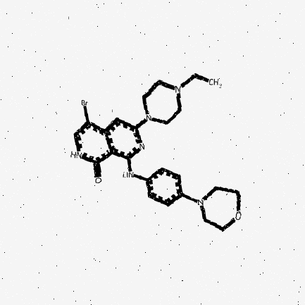 CCN1CCN(c2cc3c(Br)c[nH]c(=O)c3c(Nc3ccc(N4CCOCC4)cc3)n2)CC1